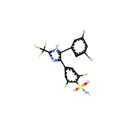 CS(=O)(=O)c1c(F)cc(-c2nc(C(F)(F)F)[nH]c2-c2cc(Cl)cc(Cl)c2)cc1F